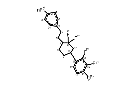 CCCc1ccc(CCC2CCC(c3ccc(CCC)c(F)c3F)CC2(F)F)cc1